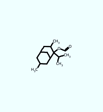 CC1CC2CC(C)C(OC=O)(C(C)C)C(C1)C2